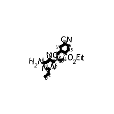 C=Cc1nc(N)c([N+](=O)[O-])c(N(CC(=O)OCC)Cc2cccc(C#N)c2)n1